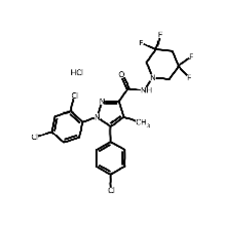 Cc1c(C(=O)NN2CC(F)(F)CC(F)(F)C2)nn(-c2ccc(Cl)cc2Cl)c1-c1ccc(Cl)cc1.Cl